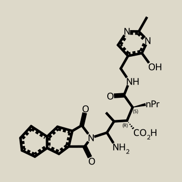 CCC[C@H](C(=O)NCc1cnc(C)nc1O)[C@H](C(=O)O)C(C)C(N)N1C(=O)c2cc3ccccc3cc2C1=O